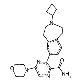 NC(=O)c1ncc(N2CCOCC2)nc1-c1ccc2c(c1)CCN(C1CCC1)CC2